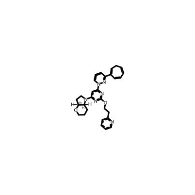 C1=CC(C2=CCC=CC=C2)=NN(c2cc(N3CC[C@H]4OCCC[C@H]43)nc(OCCc3ccccn3)n2)C=1